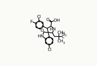 CC(C)(C)CC1NC(C(=O)O)C(c2ccc(F)c(Cl)c2)C12C(=O)Nc1cc(Cl)ccc12